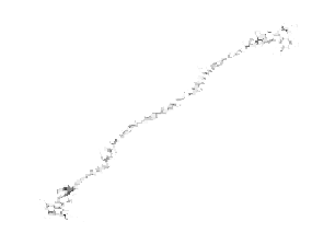 CN1Cc2c(Cl)cc(Cl)cc2C(c2ccc(S(=O)(=O)NCCOCCOCCOCCNCCCOCCOCCOCCOCCOCCOCCCCCOCCOCCONCCOCCOCCOCCNS(=O)(=O)c3ccc(C4CN(C)Cc5c(Cl)cc(Cl)cc54)cc3)cc2)C1